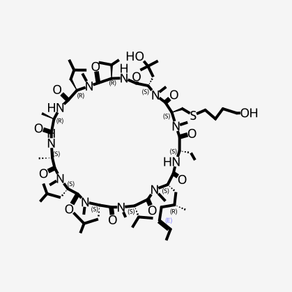 C/C=C/C[C@@H](C)C[C@H]1C(=O)N[C@@H](CC)C(=O)N(C)[C@H](CSCCCCO)C(=O)N(C)[C@@H](CC(C)(C)O)C(=O)N[C@H](C(C)C)C(=O)N(C)[C@H](CC(C)C)C(=O)N[C@H](C)C(=O)N[C@@H](C)C(=O)N(C)[C@@H](CC(C)C)C(=O)N(C)[C@@H](CC(C)C)C(=O)N(C)[C@@H](C(C)C)C(=O)N1C